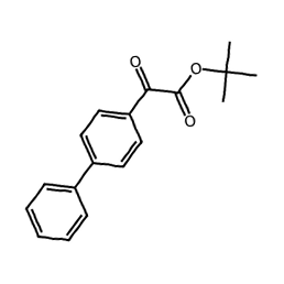 CC(C)(C)OC(=O)C(=O)c1ccc(-c2ccccc2)cc1